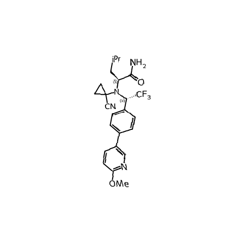 COc1ccc(-c2ccc([C@H](N([C@@H](CC(C)C)C(N)=O)C3(C#N)CC3)C(F)(F)F)cc2)cn1